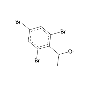 CC([O])c1c(Br)cc(Br)cc1Br